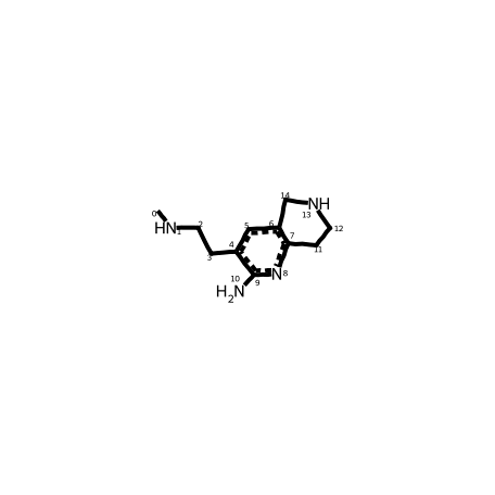 CNCCc1cc2c(nc1N)CCNC2